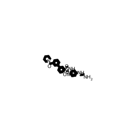 COc1ccc(-c2cccc(C(=O)N3CCCCC3)c2)cc1S(=O)(=O)Nc1cccc(NCCN)c1